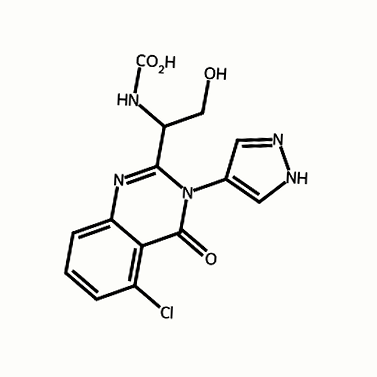 O=C(O)NC(CO)c1nc2cccc(Cl)c2c(=O)n1-c1cn[nH]c1